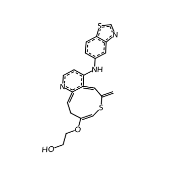 C=C1/C=c2/c(Nc3ccc4scnc4c3)ccn/c2=C/C/C(OCCO)=C\S1